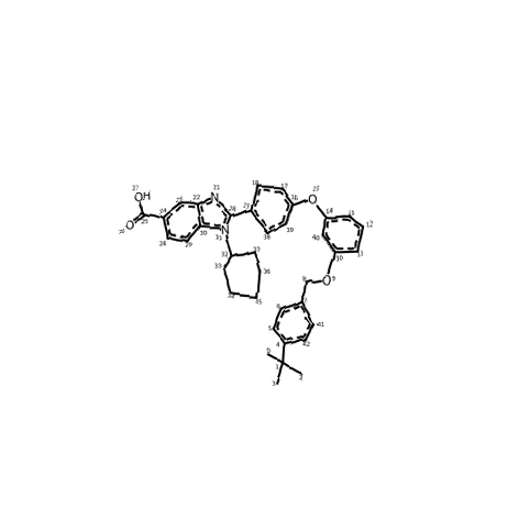 CC(C)(C)c1ccc(COc2cccc(Oc3ccc(-c4nc5cc(C(=O)O)ccc5n4C4CCCCC4)cc3)c2)cc1